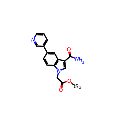 CC(C)(C)OC(=O)Cn1cc(C(N)=O)c2cc(-c3cccnc3)ccc21